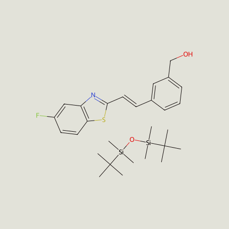 CC(C)(C)[Si](C)(C)O[Si](C)(C)C(C)(C)C.OCc1cccc(C=Cc2nc3cc(F)ccc3s2)c1